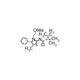 COCCn1c(-c2ccccc2)c(C)s/c1=N\C(=O)C1C(C)(C)C1(C)C